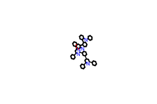 c1ccc(-c2cc(-c3ccc(-n4c5ccccc5c5c6c7ccccc7n(-c7ccccc7)c6ccc54)c(-c4nc(-c5ccccc5)cc(-c5ccccc5)n4)c3)cc(-c3ccccc3)n2)cc1